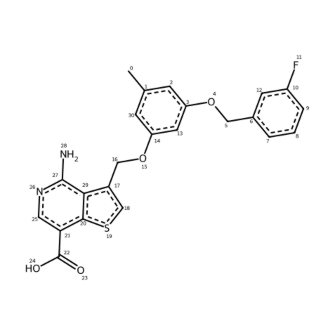 Cc1cc(OCc2cccc(F)c2)cc(OCc2csc3c(C(=O)O)cnc(N)c23)c1